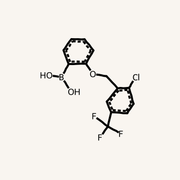 OB(O)c1ccccc1OCc1cc(C(F)(F)F)ccc1Cl